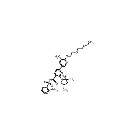 CCOCCOCCOc1ncc(-c2ccc(C(=O)NS(=O)(=O)c3cccnc3N)c(N3C[C@@H](C)CC3(C)C)n2)cc1C